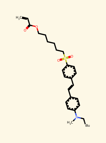 C=CC(=O)OCCCCCCS(=O)(=O)c1ccc(/C=C/c2ccc(N(C)CC(C)CC)cc2)cc1